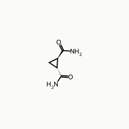 NC(=O)[C@@H]1C[C@H]1C(N)=O